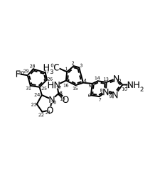 Cc1ccc(-c2ccn3nc(N)nc3c2)cc1NC(=O)N1OCCC1c1cccc(F)c1